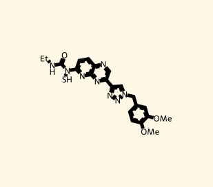 CCNC(=O)N(S)c1ccc2ncc(-c3cn(Cc4ccc(OC)c(OC)c4)nn3)nc2n1